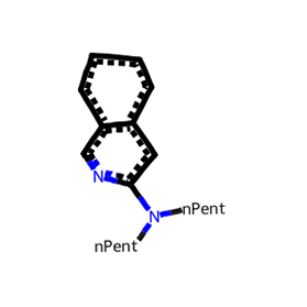 CCCCCN(CCCCC)c1cc2ccccc2cn1